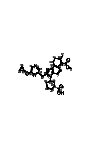 COC(=O)N1c2ccc3c(nc(Cc4cncc(OC5CC5)n4)n3[C@@H]3CCC[C@@H](C(=O)O)C3)c2CCC1C